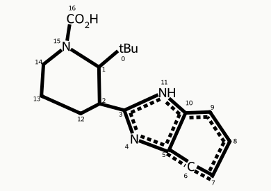 CC(C)(C)C1C(c2nc3ccccc3[nH]2)CCCN1C(=O)O